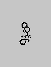 C=C[C@]1(NC(=O)C2CCc3ccccc3O2)C=CC=CC1